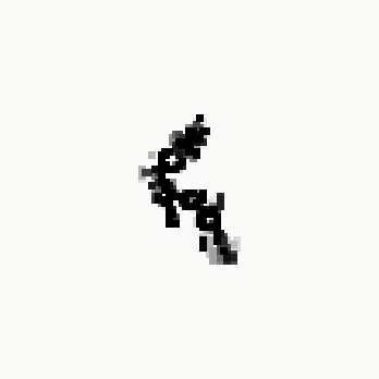 [2H]C([2H])([2H])NCc1ccc(-n2cc(-c3nc(N[C@H]4CCN(S(=O)(=O)c5cn(C)cn5)C[C@H]4C)ncc3C#N)cn2)c(Cl)c1